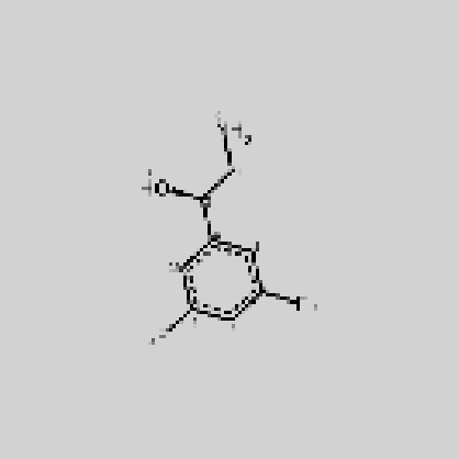 NC[C@H](O)c1cc(F)cc(F)c1